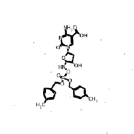 Cc1ccc(COP(=O)(OCc2ccc(C)cc2)ON[C@H]2O[C@@H](n3cc(C(=O)O)c(N)nc3=O)C[C@@H]2O)cc1